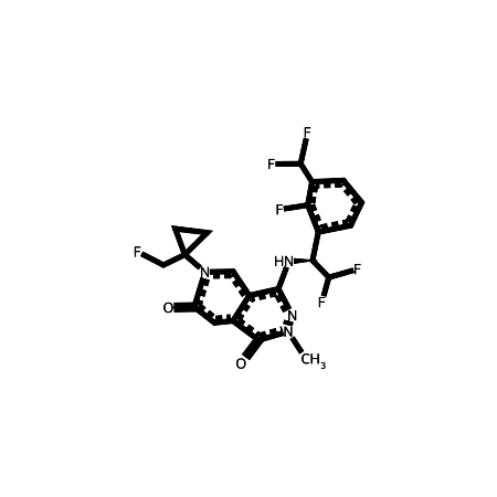 Cn1nc(N[C@@H](c2cccc(C(F)F)c2F)C(F)F)c2cn(C3(CF)CC3)c(=O)cc2c1=O